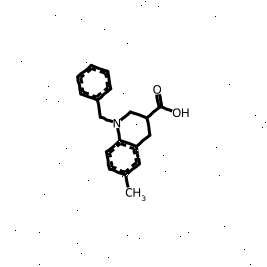 Cc1ccc2c(c1)CC(C(=O)O)CN2Cc1ccccc1